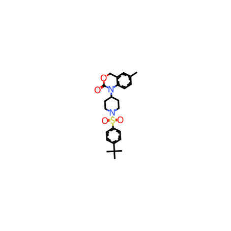 Cc1ccc2c(c1)COC(=O)N2C1CCN(S(=O)(=O)c2ccc(C(C)(C)C)cc2)CC1